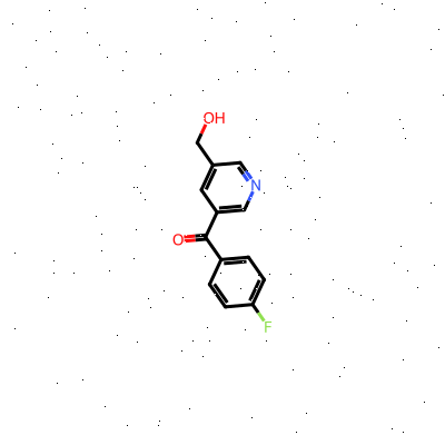 O=C(c1ccc(F)cc1)c1cncc(CO)c1